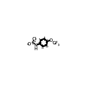 [O-][S+](Cl)Nc1ccc(OC(F)(F)F)cc1